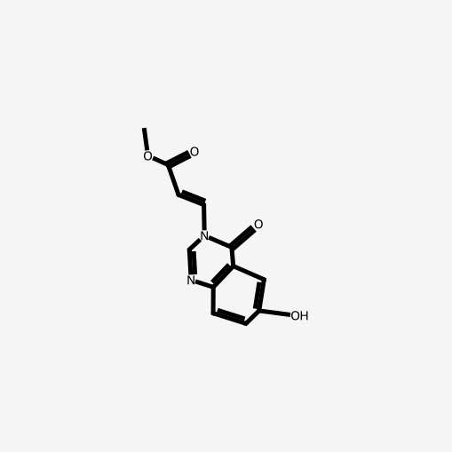 COC(=O)C=Cn1cnc2ccc(O)cc2c1=O